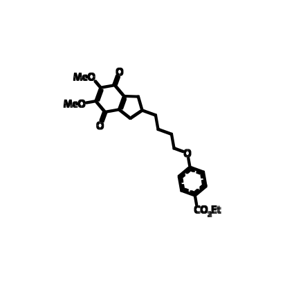 CCOC(=O)c1ccc(OCCCCC2CC3=C(C2)C(=O)C(OC)=C(OC)C3=O)cc1